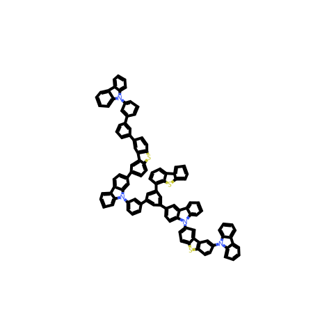 c1cc(-c2cccc(-n3c4ccccc4c4ccccc43)c2)cc(-c2ccc3sc4ccc(-c5ccc6c7ccccc7n(-c7cccc(-c8cc(-c9ccc%10c(c9)c9ccccc9n%10-c9ccc%10sc%11ccc(-n%12c%13ccccc%13c%13ccccc%13%12)cc%11c%10c9)cc(-c9cccc%10c9sc9ccccc9%10)c8)c7)c6c5)cc4c3c2)c1